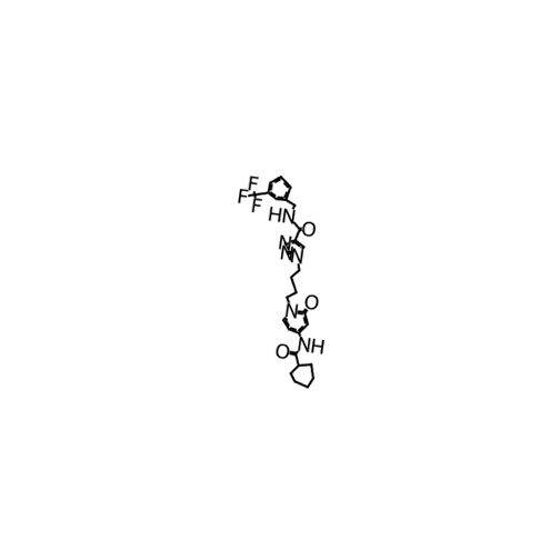 O=C(NCc1cccc(C(F)(F)F)c1)c1cn(CCCCn2ccc(NC(=O)C3CCCCC3)cc2=O)nn1